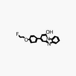 Oc1cc(-c2ccc(OCCF)cc2)cc2nc3ccccc3n12